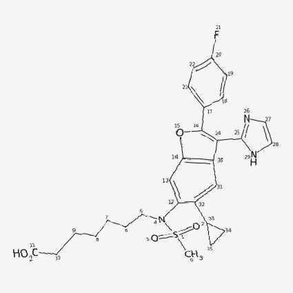 CS(=O)(=O)N(CCCCCCC(=O)O)c1cc2oc(-c3ccc(F)cc3)c(-c3ncc[nH]3)c2cc1C1CC1